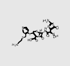 NCCSCc1cnccc1SC1=C(C(=O)O)N2C(=O)[C@@H](NC(=O)/C(=N\O)c3nc(N)sc3Cl)[C@@H]2SC1